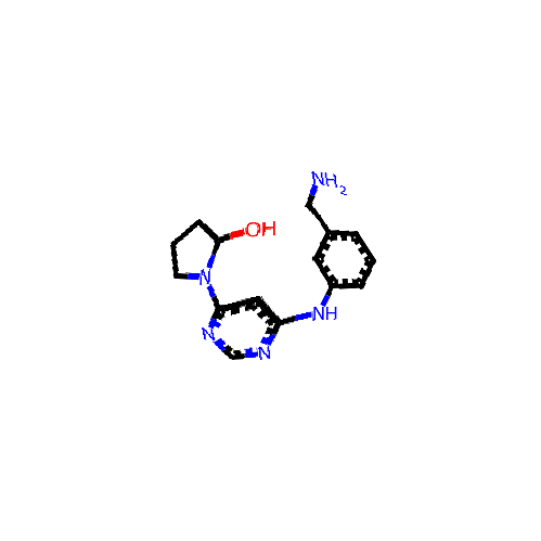 NCc1cccc(Nc2cc(N3CCCC3O)ncn2)c1